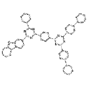 c1ccc(-c2ccc(-c3nc(-c4ccc(-c5ccccc5)cc4)nc(-c4ccc(-c5nc(-c6ccccc6)nc(-c6ccc7c(c6)oc6ccccc67)n5)cc4)n3)cc2)cc1